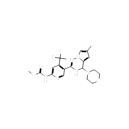 COC(=O)Nc1cc(C(F)(F)F)c(C2=Nn3cc(C)cc3C(N3CCOCC3)N2)cn1